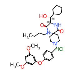 CCCCN1C(=O)[C@@H]([C@H](O)C2CCCCC2)NC(=O)C12CCN(Cc1ccc(Oc3cc(OC)cc(OC)c3)cc1)CC2.Cl